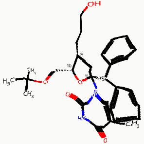 Cc1cn([C@@]2([SiH](c3ccccc3)c3ccccc3)C[C@H](CCCO)[C@@H](COC(C)(C)C)O2)c(=O)[nH]c1=O